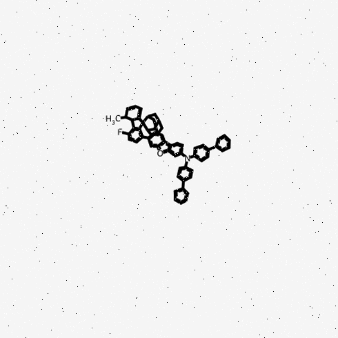 CC1C=CC=C2C1c1c(F)ccc(-c3ccc4c(c3)oc3cc(N(c5ccc(-c6ccccc6)cc5)c5ccc(-c6ccccc6)cc5)ccc34)c1C21C2CC3CC(C2)CC1C3